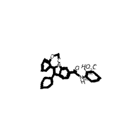 O=C(N[C@@H]1CCCC[C@H]1C(=O)O)c1ccc2c(C3CCCCC3)c3n(c2c1)CCOc1ccccc1-3